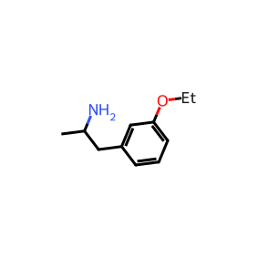 CCOc1cccc(CC(C)N)c1